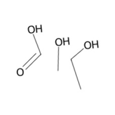 CCO.CO.O=CO